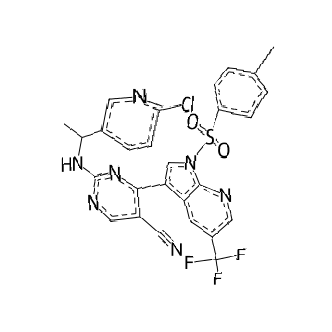 Cc1ccc(S(=O)(=O)n2cc(-c3nc(NC(C)c4ccc(Cl)nc4)ncc3C#N)c3cc(C(F)(F)F)cnc32)cc1